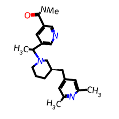 CNC(=O)c1cncc(C(C)N2CCC[C@H](Cc3cc(C)nc(C)c3)C2)c1